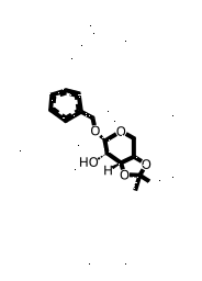 CC1(C)OC2CO[C@H](OCc3ccccc3)[C@@H](O)[C@H]2O1